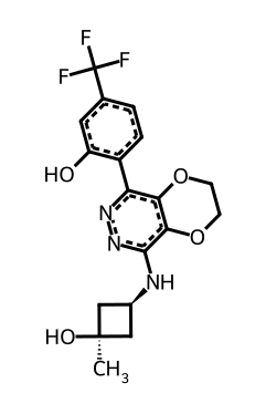 C[C@]1(O)C[C@@H](Nc2nnc(-c3ccc(C(F)(F)F)cc3O)c3c2OCCO3)C1